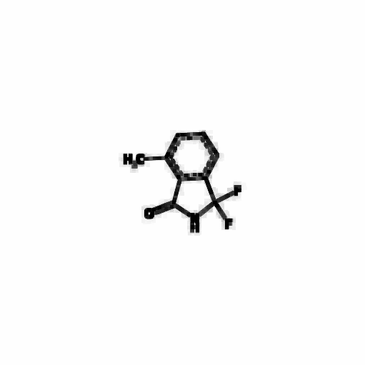 Cc1cccc2c1C(=O)NC2(F)F